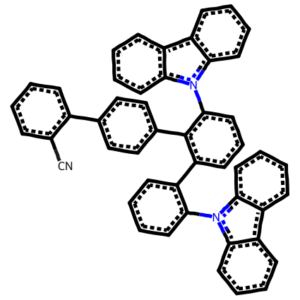 N#Cc1ccccc1-c1ccc(-c2c(-c3ccccc3-n3c4ccccc4c4ccccc43)cccc2-n2c3ccccc3c3ccccc32)cc1